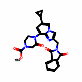 CC(C)(C)OC(=O)N1CCN(c2cc(C3CC3)cn3cc(CN4C(=O)c5ccccc5C4=O)nc23)C(=O)C1